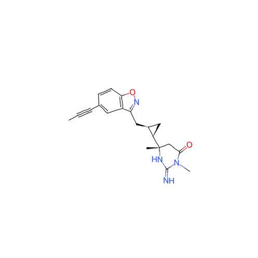 CC#Cc1ccc2onc(C[C@H]3C[C@H]3[C@]3(C)CC(=O)N(C)C(=N)N3)c2c1